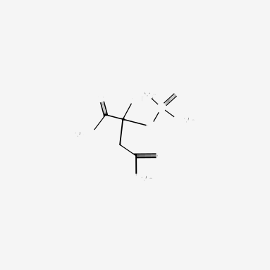 COC(=O)CC(C)(OP(=O)(OC)OC)C(=O)OC